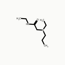 CCCN(CC)CC(=O)NCC